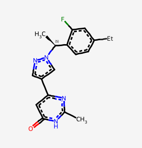 CCc1ccc([C@H](C)n2cc(-c3cc(=O)[nH]c(C)n3)cn2)c(F)c1